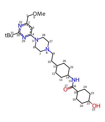 COCc1cc(N2CCN(CCC3CCC(NC(=O)C4CCC(O)CC4)CC3)CC2)nc(C(C)(C)C)n1